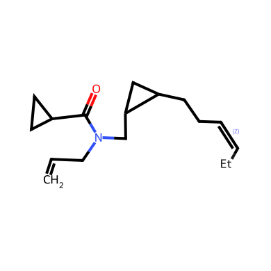 C=CCN(CC1CC1CC/C=C\CC)C(=O)C1CC1